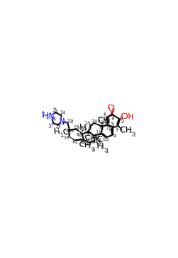 CC1=C(O)C(=O)C=C2C1=CC=C1[C@@]2(C)CC[C@@]2(C)[C@@H]3C[C@](C)(CN4CCNCC4)CC[C@]3(C)CC[C@]12C